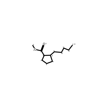 COC(=O)C1CCCC1CCCCI